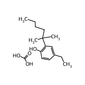 CCCCC(C)(C)c1cc(CC)ccc1O.O=C(O)O